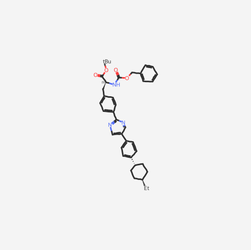 CC[C@H]1CC[C@H](c2ccc(-c3cnc(-c4ccc(C[C@H](NC(=O)OCc5ccccc5)C(=O)OC(C)(C)C)cc4)nc3)cc2)CC1